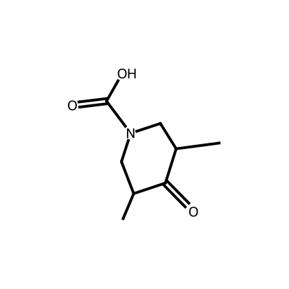 CC1CN(C(=O)O)CC(C)C1=O